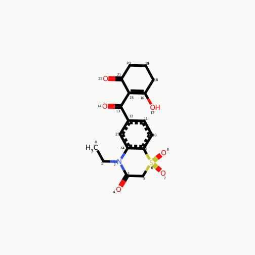 CCN1C(=O)CS(=O)(=O)c2ccc(C(=O)C3=C(O)CCCC3=O)cc21